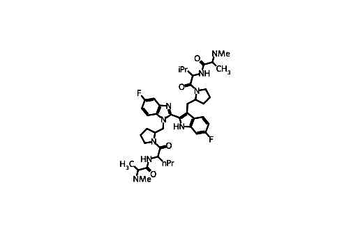 CCCC(NC(=O)C(C)NC)C(=O)N1CCCC1Cn1c(-c2[nH]c3cc(F)ccc3c2CC2CCCN2C(=O)C(NC(=O)C(C)NC)C(C)C)nc2cc(F)ccc21